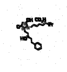 CC(C)C(CCC=CC[C@H]1[C@H](O)CC(=O)[C@@H]1CC[C@@H](O)CCc1ccccc1)C(=O)O